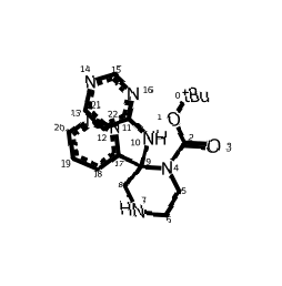 CC(C)(C)OC(=O)N1CCNCC1(Nc1ccncn1)c1cccnn1